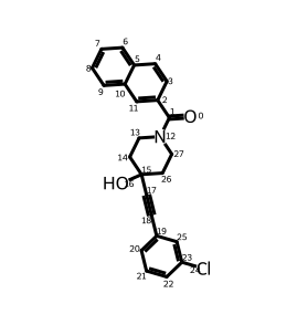 O=C(c1ccc2ccccc2c1)N1CCC(O)(C#Cc2cccc(Cl)c2)CC1